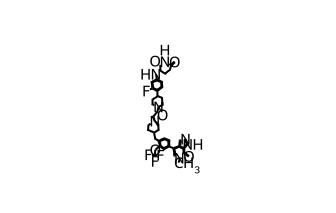 Cn1cc(-c2ccc(CC3CCN(CC(=O)N4CCC(c5ccc(NC6CCC(=O)NC6=O)cc5F)CC4)CC3)c(OC(F)(F)F)c2)c2cn[nH]c2c1=O